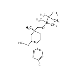 CC(C)(C)[Si](C)(C)OC[C@]1(C)CCC(c2ccc(Cl)cc2)=C(CO)C1